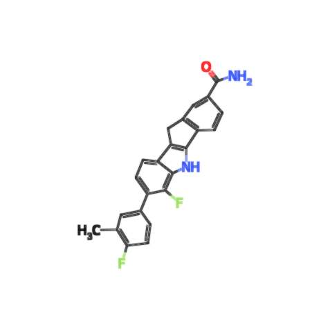 Cc1cc(-c2ccc3c4c([nH]c3c2F)-c2ccc(C(N)=O)cc2C4)ccc1F